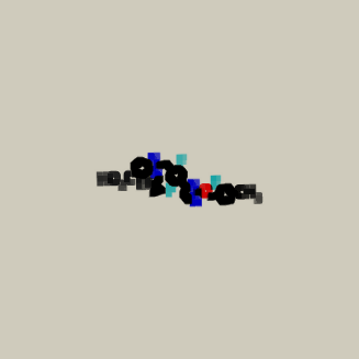 CCC1(Cn2c(Cc3cc(F)c(-c4ccnc(OCc5ccc(C)cc5F)n4)cc3F)nc3ccc(C(=O)O)cc32)CC1